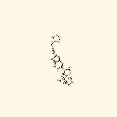 C[C@H]1[C@H](NC(=O)c2cc3cc(C#CCN4CCCC4)oc3cn2)C2CCN1CC2